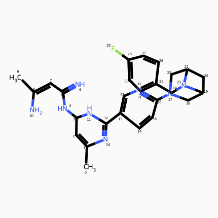 CC1=CC(NC(=N)/C=C(/C)N)NC(c2ccc(N3CC4CC(C3)N4Cc3ccc(F)cc3)nc2)=N1